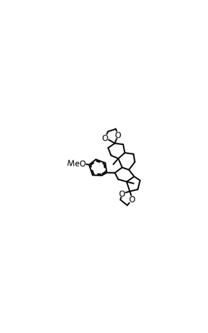 COc1ccc(C2CC3(C)C(CCC34OCCO4)C3CCC4CC5(CCC4(C)C23)OCCO5)cc1